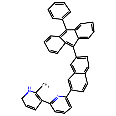 CC1=C(c2cccc(-c3ccc4ccc(-c5c6ccccc6c(-c6ccccc6)c6ccccc56)cc4c3)n2)C=CCN1